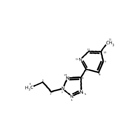 CCCn1nnc(-c2ccc(C)cn2)n1